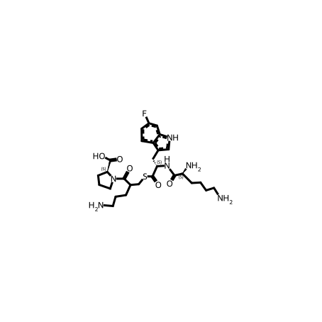 NCCCC[C@H](N)C(=O)N[C@@H](Cc1c[nH]c2cc(F)ccc12)C(=O)SCC(CCCN)C(=O)N1CCC[C@H]1C(=O)O